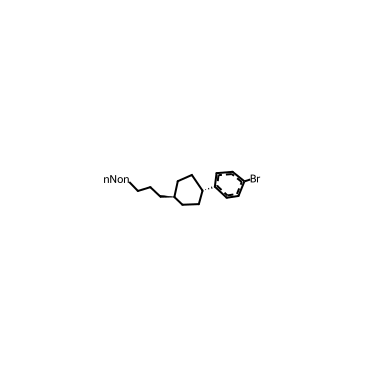 CCCCCCCCCCCC[C@H]1CC[C@H](c2ccc(Br)cc2)CC1